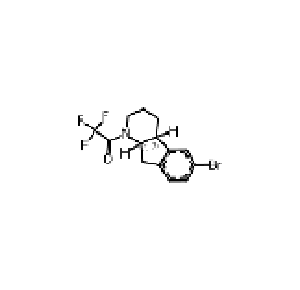 O=C(N1CCC[C@@H]2c3cc(Br)ccc3C[C@@H]21)C(F)(F)F